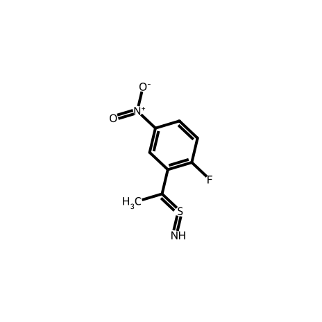 CC(=S=N)c1cc([N+](=O)[O-])ccc1F